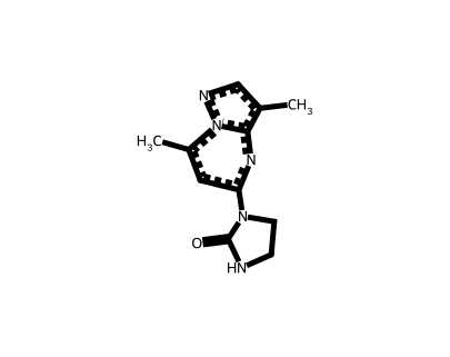 Cc1cnn2c(C)cc(N3CCNC3=O)nc12